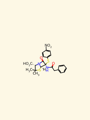 CC1(C)S[C@H]2N(C(=O)[C@@]2(NC(=O)Cc2ccccc2)Sc2ccc([N+](=O)[O-])cc2)[C@H]1C(=O)O